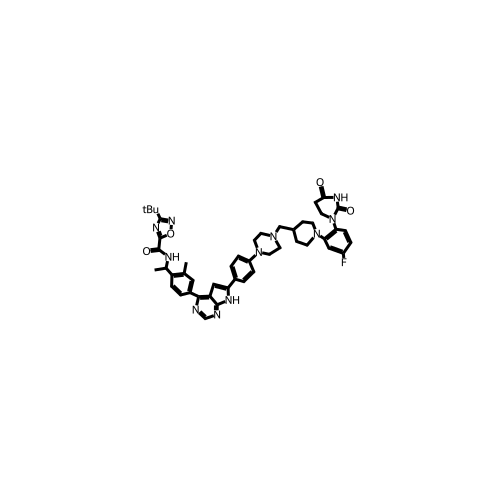 Cc1cc(-c2ncnc3[nH]c(-c4ccc(N5CCN(CC6CCN(c7cc(F)ccc7N7CCC(=O)NC7=O)CC6)CC5)cc4)cc23)ccc1C(C)NC(=O)c1nc(C(C)(C)C)no1